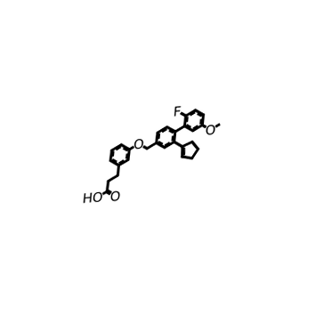 COc1ccc(F)c(-c2ccc(COc3cccc(CCC(=O)O)c3)cc2C2=CCCC2)c1